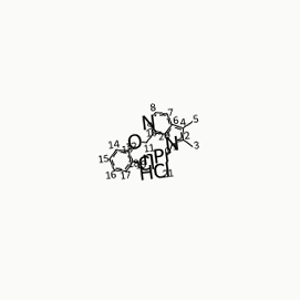 CCCn1c(C)c(C)c2ccnc(COc3ccccc3Cl)c21.Cl